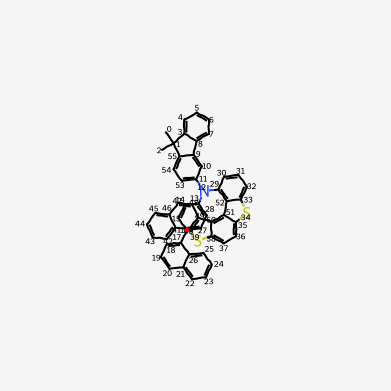 CC1(C)c2ccccc2-c2cc(N(c3ccc(-c4cccc5ccccc45)cc3)c3cccc4sc5ccc6sc7c8ccccc8ccc7c6c5c34)ccc21